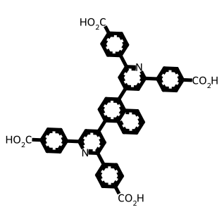 O=C(O)c1ccc(-c2cc(-c3ccc(-c4cc(-c5ccc(C(=O)O)cc5)nc(-c5ccc(C(=O)O)cc5)c4)c4ccccc34)cc(-c3ccc(C(=O)O)cc3)n2)cc1